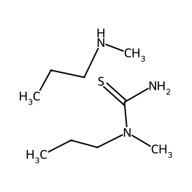 CCCN(C)C(N)=S.CCCNC